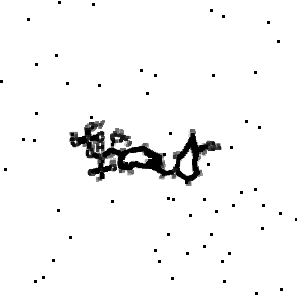 CC(C)(C)C1CCN(Cc2ccc([C@H](N(OP(=O)(O)O)S(C)(=O)=O)C(F)(F)F)cc2)CC1